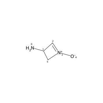 NC1C=[N+]([O-])C1